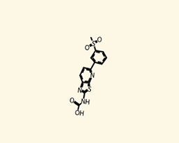 CS(=O)(=O)c1cccc(-c2ccc3nc(NC(=O)O)sc3n2)c1